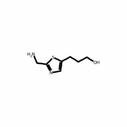 NCc1ncc(CCCO)s1